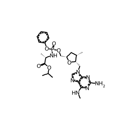 CNc1nc(N)nc2c1ncn2C[C@@H]1O[C@H](COP(=O)(N[C@@H](C)C(=O)OC(C)C)Oc2ccccc2)C[C@@H]1C